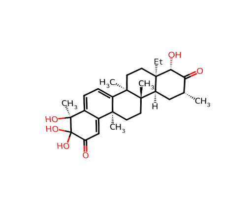 CC[C@@]12CC[C@]3(C)C4=CC=C5C(=CC(=O)C(O)(O)[C@@]5(C)O)[C@]4(C)CC[C@@]3(C)[C@@H]1C[C@@H](C)C(=O)[C@H]2O